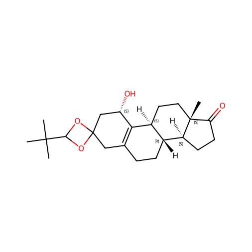 CC(C)(C)C1OC2(CC3=C([C@H]4CC[C@]5(C)C(=O)CC[C@H]5[C@@H]4CC3)[C@@H](O)C2)O1